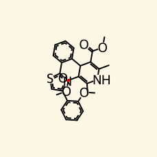 COC(=O)C1=C(C)NC(C)=C(C(=O)OC)C1c1ccccc1-c1nc(-c2ccccc2OC)cs1